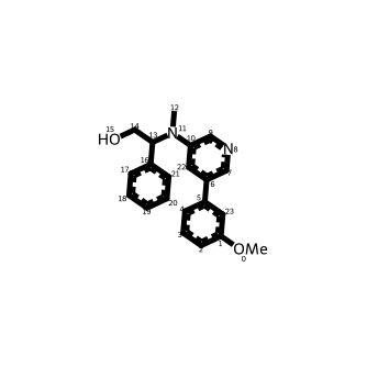 COc1cccc(-c2cncc(N(C)C(CO)c3ccccc3)c2)c1